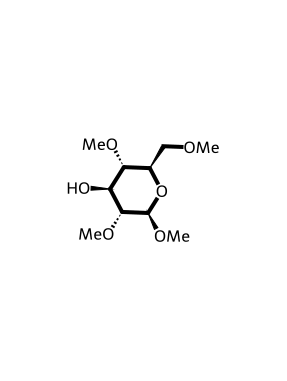 COC[C@H]1O[C@@H](OC)[C@H](OC)[C@@H](O)[C@@H]1OC